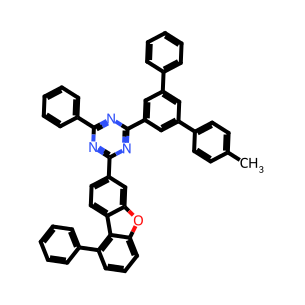 Cc1ccc(-c2cc(-c3ccccc3)cc(-c3nc(-c4ccccc4)nc(-c4ccc5c(c4)oc4cccc(-c6ccccc6)c45)n3)c2)cc1